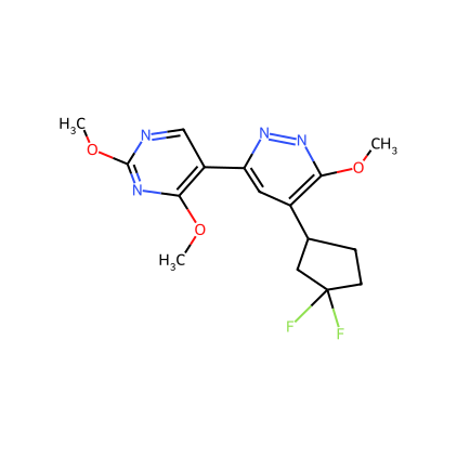 COc1ncc(-c2cc(C3CCC(F)(F)C3)c(OC)nn2)c(OC)n1